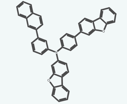 c1cc(-c2ccc3ccccc3c2)cc(N(c2ccc(-c3ccc4c(c3)oc3ccccc34)cc2)c2ccc3c(c2)oc2ccccc23)c1